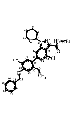 CC(C)(C)NC(=O)c1nn(C2CCCCO2)c2cc(-c3cc(F)c(OCc4ccccc4)cc3CC(F)(F)F)nc(Cl)c12